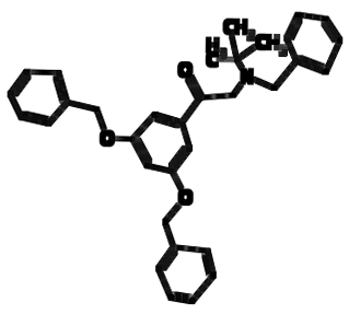 CC(C)(C)N(CC(=O)c1cc(OCc2ccccc2)cc(OCc2ccccc2)c1)Cc1ccccc1